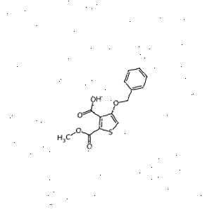 COC(=O)c1scc(OCc2ccccc2)c1C(=O)O